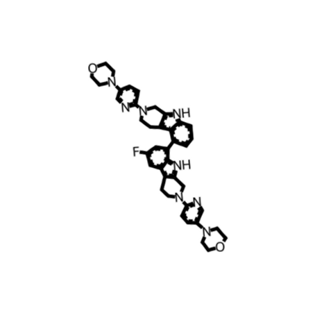 Fc1cc(-c2cccc3[nH]c4c(c23)CCN(c2ccc(N3CCOCC3)cn2)C4)c2[nH]c3c(c2c1)CCN(c1ccc(N2CCOCC2)cn1)C3